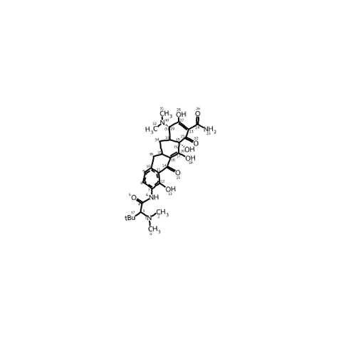 CN(C)C(C(=O)Nc1ccc2c(c1O)C(=O)C1=C(O)[C@]3(O)C(=O)C(C(N)=O)=C(O)[C@@H](N(C)C)C3CC1C2)C(C)(C)C